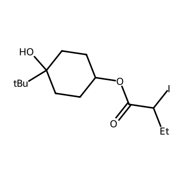 CCC(I)C(=O)OC1CCC(O)(C(C)(C)C)CC1